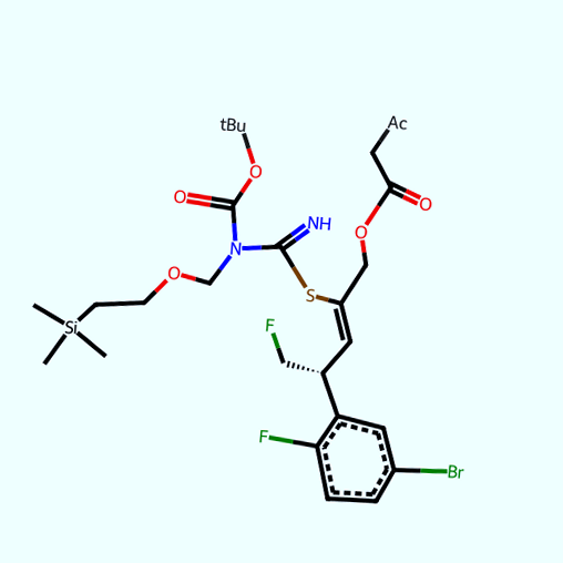 CC(=O)CC(=O)OC/C(=C/[C@@H](CF)c1cc(Br)ccc1F)SC(=N)N(COCC[Si](C)(C)C)C(=O)OC(C)(C)C